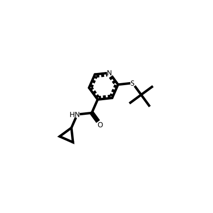 CC(C)(C)Sc1cc(C(=O)NC2CC2)ccn1